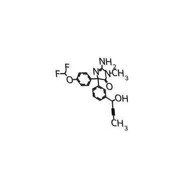 CC#CC(O)c1cccc(C2(c3ccc(OC(F)F)cc3)N=C(N)N(C)C2=O)c1